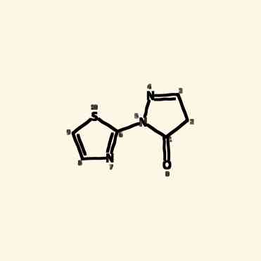 O=C1CC=NN1c1nccs1